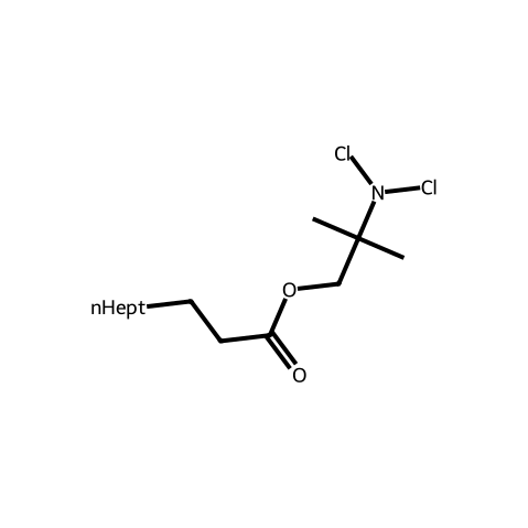 CCCCCCCCCC(=O)OCC(C)(C)N(Cl)Cl